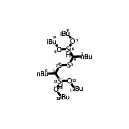 CCCCC(SSC(CCCC)[SiH](OC(C)CC)OC(C)CC)[SiH](OC(C)CC)OC(C)CC